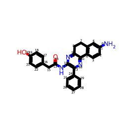 Nc1ccc2c(c1)CCc1nc(NC(=O)Cc3ccc(O)cc3)c(-c3ccccc3)nc1-2